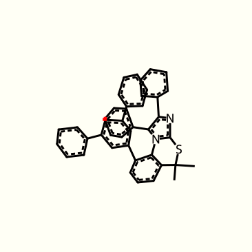 CC1(C)Sc2nc(-c3ccccc3)c(-c3ccccc3)n2-c2c(-c3cc(-c4ccccc4)cc(-c4ccccc4)c3)cccc21